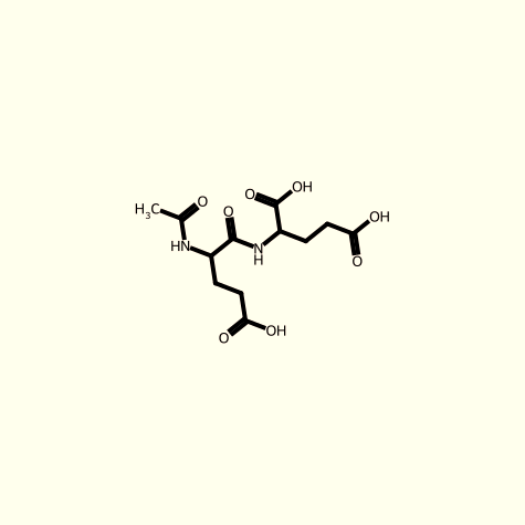 CC(=O)NC(CCC(=O)O)C(=O)NC(CCC(=O)O)C(=O)O